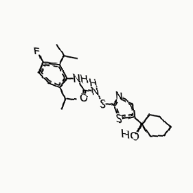 CC(C)c1ccc(F)c(C(C)C)c1NC(=O)NSc1ncc(C2(O)CCCCC2)s1